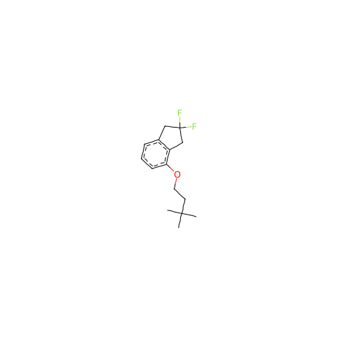 CC(C)(C)CCOc1cccc2c1CC(F)(F)C2